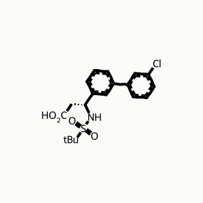 CC(C)(C)S(=O)(=O)N[C@H](CC(=O)O)c1cccc(-c2cccc(Cl)c2)c1